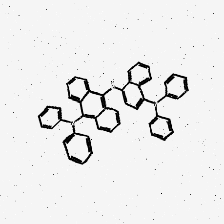 c1ccc(N(c2ccccc2)c2ccc(Nc3c4ccccc4c(N(c4ccccc4)c4ccccc4)c4ccccc34)c3ccccc23)cc1